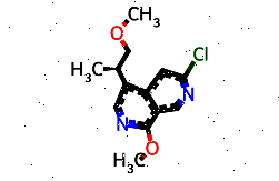 COC[C@H](C)c1cnc(OC)c2cnc(Cl)cc12